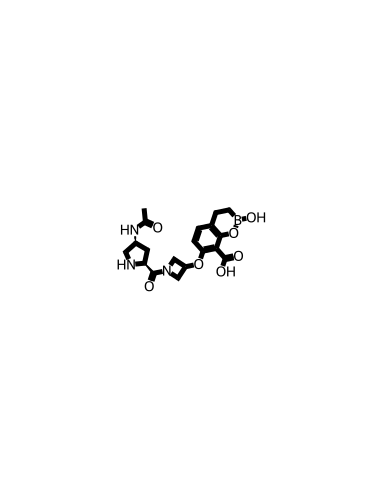 CC(=O)N[C@H]1CN[C@H](C(=O)N2CC(Oc3ccc4c(c3C(=O)O)OB(O)CC4)C2)C1